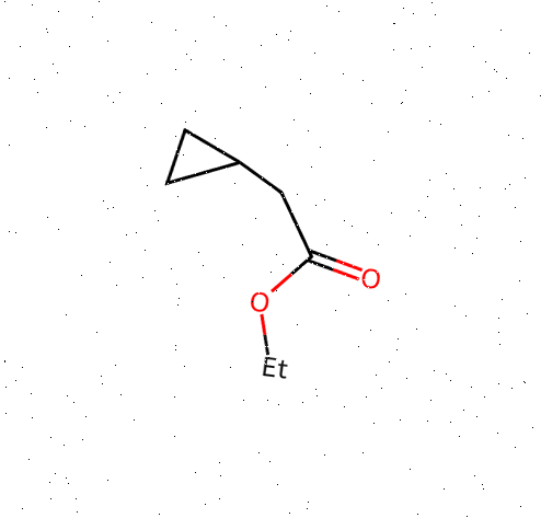 CCOC(=O)CC1CC1